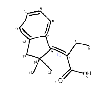 CC/C(C(=O)O)=C1\c2ccccc2CC1(C)C